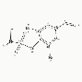 CN(C)S(=O)(=O)Oc1c(Br)cc(C=O)cc1Br